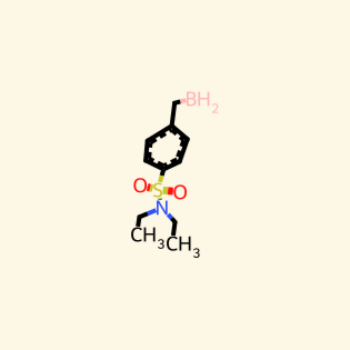 BCc1ccc(S(=O)(=O)N(CC)CC)cc1